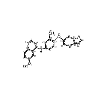 CCOc1ccc2ncnc(Nc3ccc(Oc4ccc5ncnn5c4)c(C)c3)c2c1